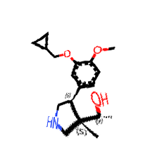 COc1ccc([C@@H]2CNC[C@@]2(C)[C@@H](C)O)cc1OCC1CC1